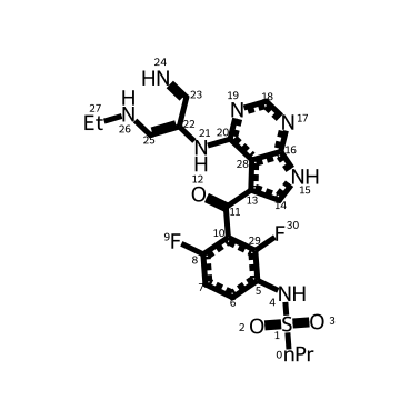 CCCS(=O)(=O)Nc1ccc(F)c(C(=O)c2c[nH]c3ncnc(N/C(C=N)=C/NCC)c23)c1F